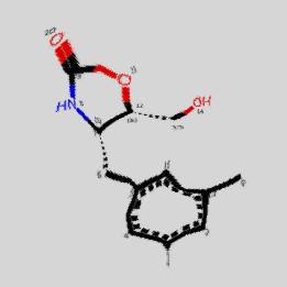 Cc1cccc(C[C@@H]2NC(=O)O[C@@H]2CO)c1